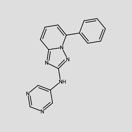 c1ccc(-c2cccc3nc(Nc4cncnc4)nn23)cc1